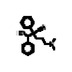 CN(C)CCCC(C#N)(c1ccccc1)C(O)c1ccccc1